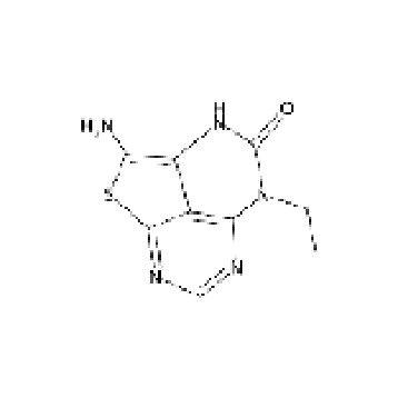 CCN1C(=O)Nc2c(N)sc3ncnc1c23